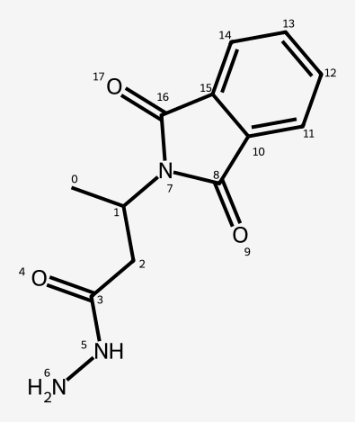 CC(CC(=O)NN)N1C(=O)c2ccccc2C1=O